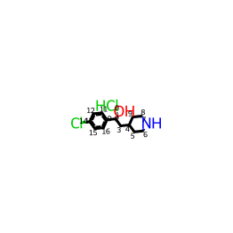 Cl.OC(CC1CCNCC1)c1ccc(Cl)cc1